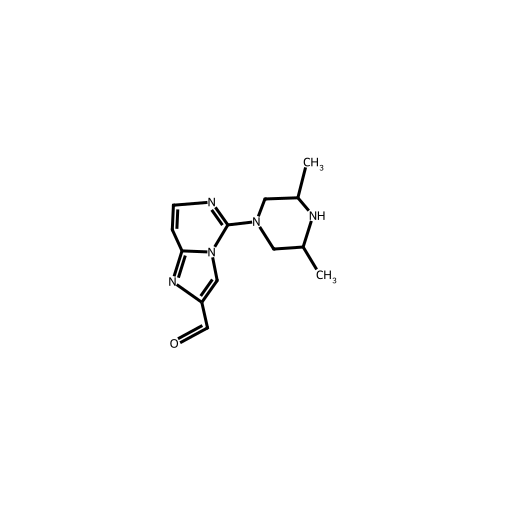 CC1CN(c2nccc3nc(C=O)cn23)CC(C)N1